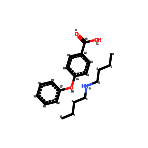 CCCCNCCCC.O=C(O)c1ccc(Oc2ccccc2)cc1